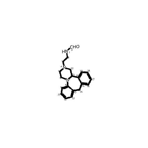 O=CNCCN1CCN2c3ccccc3Cc3ccccc3C2C1